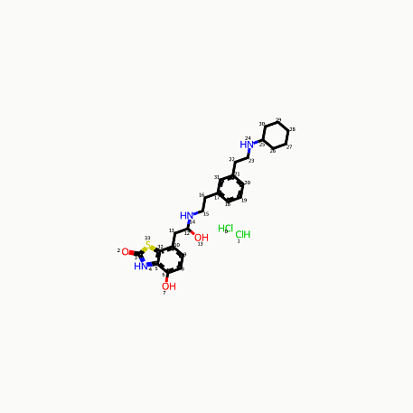 Cl.Cl.O=c1[nH]c2c(O)ccc(CC(O)NCCc3cccc(CCNC4CCCCC4)c3)c2s1